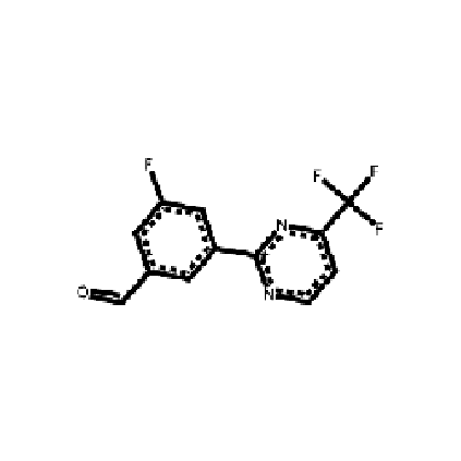 O=Cc1cc(F)cc(-c2nccc(C(F)(F)F)n2)c1